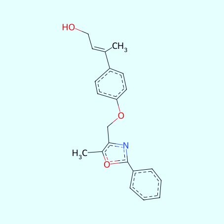 CC(=CCO)c1ccc(OCc2nc(-c3ccccc3)oc2C)cc1